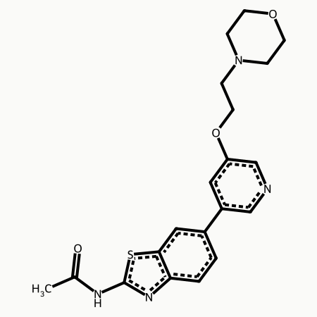 CC(=O)Nc1nc2ccc(-c3cncc(OCCN4CCOCC4)c3)cc2s1